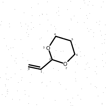 C=CC1OCCCO1